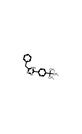 CC(C)(C)c1ccc(-c2nnc(Cc3ccccc3)[nH]2)cc1